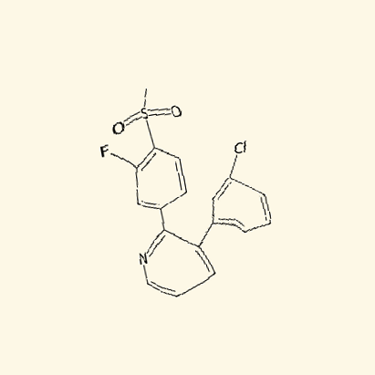 CS(=O)(=O)c1ccc(-c2ncccc2-c2cccc(Cl)c2)cc1F